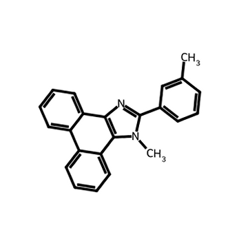 Cc1cccc(-c2nc3c4ccccc4c4ccccc4c3n2C)c1